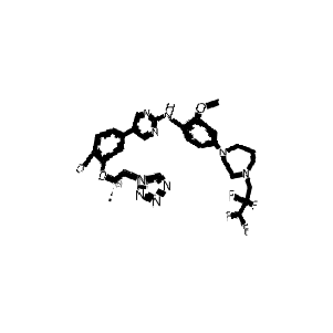 COc1cc(N2CCCN(CC(F)(F)C(F)F)CC2)ccc1Nc1ncc(-c2ccc(Cl)c(O[C@@H](C)Cn3cnnn3)c2)cn1